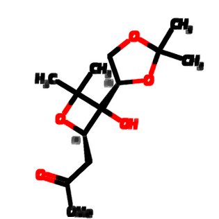 COC(=O)C[C@H]1OC(C)(C)C1(O)[C@H]1COC(C)(C)O1